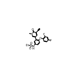 C#Cc1cc(-c2cc(NS(=O)(=O)CC)ccc2Oc2ccc(F)cc2F)cn(C)c1=O